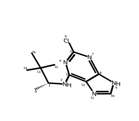 C[C@@H](Nc1nc(Cl)nc2[nH]cnc12)C(C)(C)C